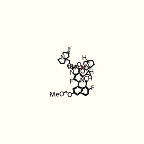 C#Cc1c(F)ccc2cc(OCOC)cc(-c3nc(C4CC4)c4c(N5C[C@H]6CC[C@@H](C5)N6C(=O)OC(C)(C)C)nc(OC[C@@]56CCCN5C[C@H](F)C6)nc4c3F)c12